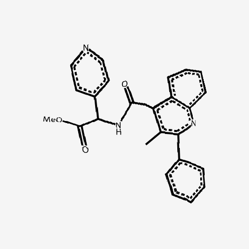 COC(=O)C(NC(=O)c1c(C)c(-c2ccccc2)nc2ccccc12)c1ccncc1